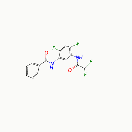 O=C(Nc1cc(NC(=O)C(F)F)c(F)cc1F)c1ccccc1